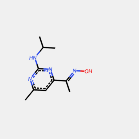 CC(=NO)c1cc(C)nc(NC(C)C)n1